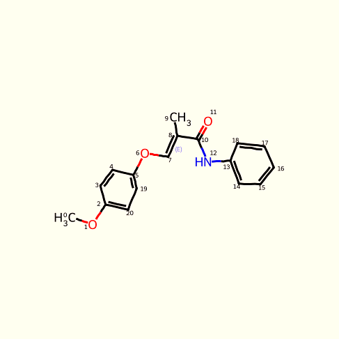 COc1ccc(O/C=C(\C)C(=O)Nc2ccccc2)cc1